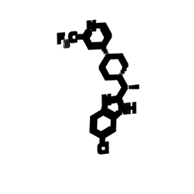 C[C@H](c1nc2ccc(Cl)cc2[nH]1)[C@H]1CC[C@@H](c2ccnc(C(F)(F)F)c2)CC1